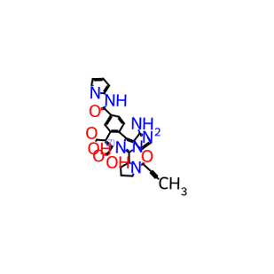 CC#CC(=O)N1CCCC1c1nc(-c2ccc(C(=O)Nc3ccccn3)cc2/C(=C/C(=O)O)C(=O)O)c2c(N)nccn12